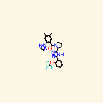 Cc1cc(C(=O)N2CCCC2c2nnc(-c3ccccc3OC(F)(F)F)[nH]2)c(-n2nccn2)cc1C